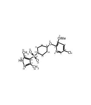 COc1cc(Cl)cnc1OC1CCN(S(=O)(=O)c2c(C)n[nH]c2C)CC1